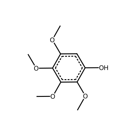 COc1cc(O)c(OC)c(OC)c1OC